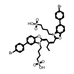 CCC(=Cc1oc2ccc(-c3ccc(Br)cc3)cc2[n+]1CCCCS(=O)(=O)O)C=C1Oc2ccc(-c3ccc(Br)cc3)cc2N1CCCCS(=O)(=O)O